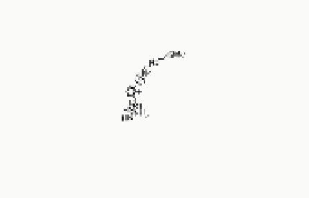 CSCCCON=C1CCN(c2ncc(-c3cccc(COC(=O)NC(=N)N)c3F)cn2)CC1